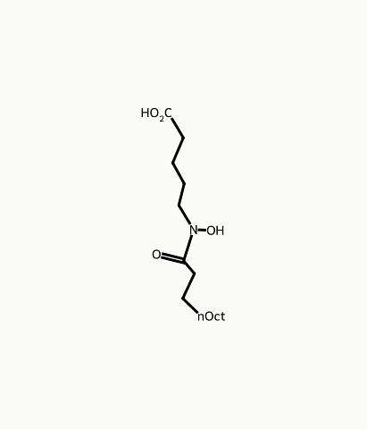 CCCCCCCCCCC(=O)N(O)CCCCC(=O)O